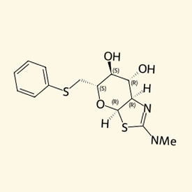 CNC1=N[C@@H]2[C@@H](O)[C@H](O)[C@@H](CSc3ccccc3)O[C@@H]2S1